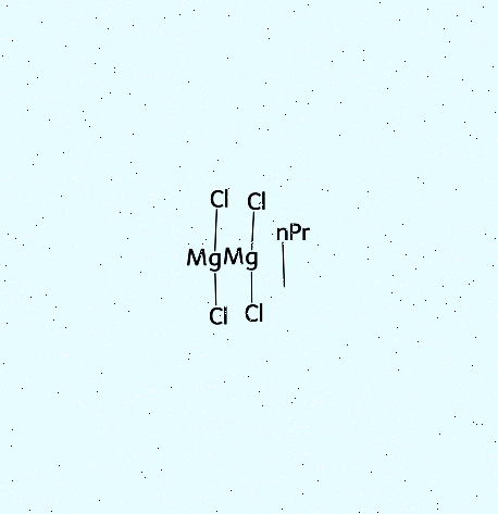 CCCC.[Cl][Mg][Cl].[Cl][Mg][Cl]